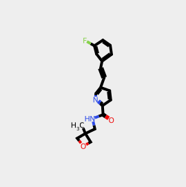 CC1(CNC(=O)c2ccc(C#Cc3cccc(F)c3)cn2)COC1